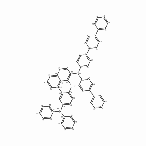 c1ccc(-c2ccc(-c3ccc(N(c4ccc(-c5ccccc5)cc4)c4ccc5cccc6c5c4Oc4ccc(N(c5ccccc5)c5ccccc5)cc4-6)cc3)cc2)cc1